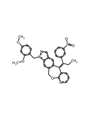 CCC(=C1c2cc3cnn(Cc4ccc(OC)cc4OC)c3cc2COc2ncccc21)c1cccc([N+](=O)[O-])c1